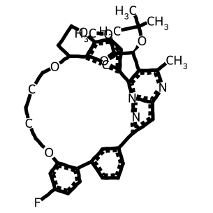 COC(=O)[C@@H](OC(C)(C)C)c1c(C)nc2cc3nn2c1-c1ccc2c(c1)C(CCO2)OCCCCCOc1cc(F)ccc1-c1cccc-3c1